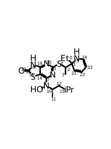 CCC1(C(C)Sc2nc(N(O)[C@H](C)CC(C)C)c3sc(=O)[nH]c3n2)C=CC=CN1